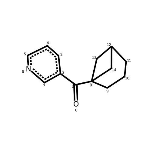 O=C(c1cccnc1)C12CCCC(C1)C2